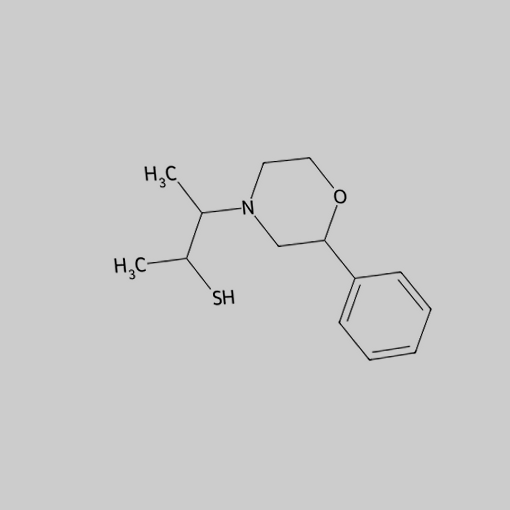 CC(S)C(C)N1CCOC(c2ccccc2)C1